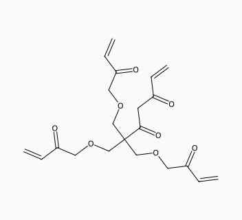 C=CC(=O)COCC(COCC(=O)C=C)(COCC(=O)C=C)C(=O)CC(=O)C=C